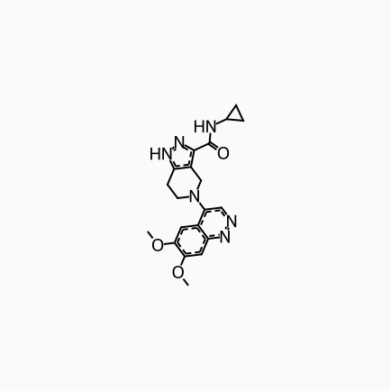 COc1cc2nncc(N3CCc4[nH]nc(C(=O)NC5CC5)c4C3)c2cc1OC